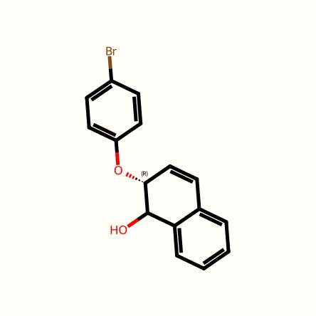 OC1c2ccccc2C=C[C@H]1Oc1ccc(Br)cc1